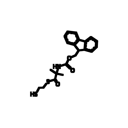 CC(C)(NC(=O)OCC1c2ccccc2-c2ccccc21)C(=O)SCCS